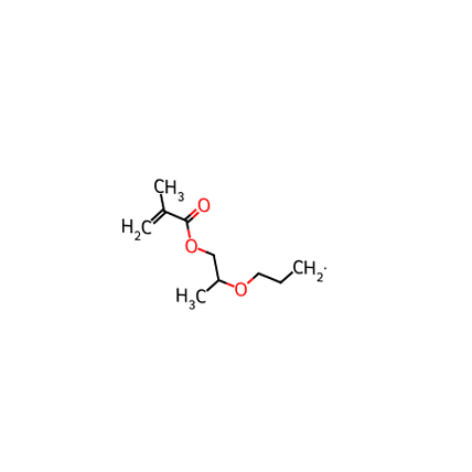 [CH2]CCOC(C)COC(=O)C(=C)C